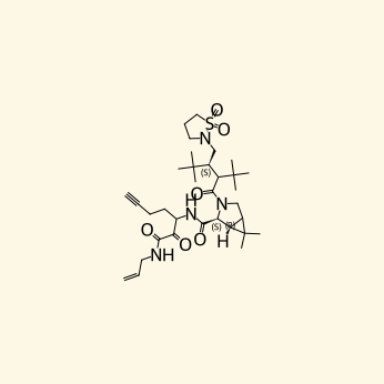 C#CCCC(NC(=O)[C@@H]1[C@@H]2C(CN1C(=O)C([C@H](CN1CCCS1(=O)=O)C(C)(C)C)C(C)(C)C)C2(C)C)C(=O)C(=O)NCC=C